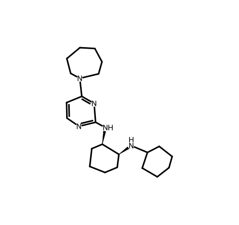 c1cc(N2CCCCCC2)nc(N[C@@H]2CCCC[C@@H]2NC2CCCCC2)n1